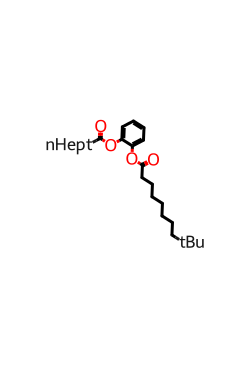 CCCCCCCC(=O)Oc1ccccc1OC(=O)CCCCCCCC(C)(C)C